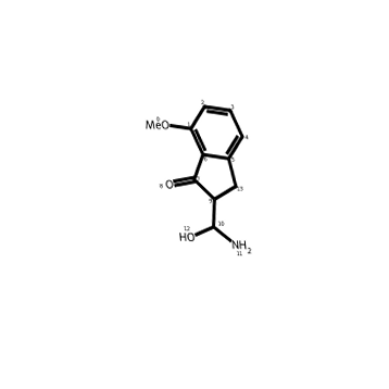 COc1cccc2c1C(=O)C(C(N)O)C2